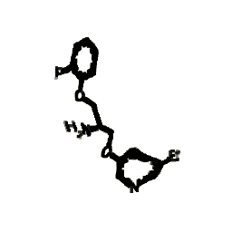 CCc1cncc(OC[C@@H](N)COc2ccccc2F)c1